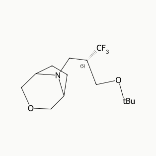 CC(C)(C)OC[C@H](CN1C2CCC1COC2)C(F)(F)F